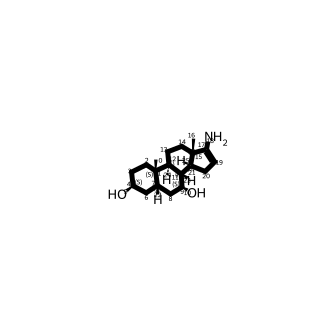 C[C@]12CC[C@H](O)C[C@H]1C[C@H](O)[C@@H]1[C@@H]2CC[C@]2(C)C(N)=CC[C@@H]12